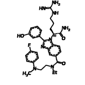 CCN(CCN(C)c1ccc(F)cc1)C(=O)c1ccc2c(c1)nc(-c1cccc(O)c1)n2[C@@H](CCCNC(=N)N)C(N)=O